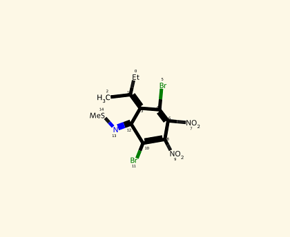 CC/C(C)=C1\C(Br)=C([N+](=O)[O-])C([N+](=O)[O-])=C(Br)\C1=N\SC